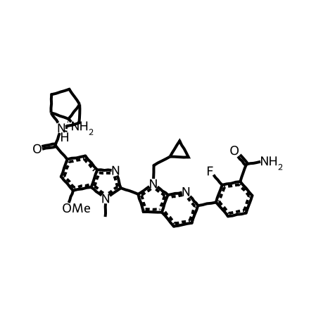 COc1cc(C(=O)N2CC3CCC2[C@@H]3N)cc2nc(-c3cc4ccc(-c5cccc(C(N)=O)c5F)nc4n3CC3CC3)n(C)c12